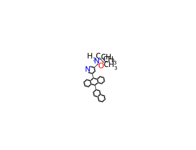 CC1(C)N=C(c2cncc(-c3c4ccccc4c(-c4ccc5ccccc5c4)c4ccccc34)c2)OC1(C)C